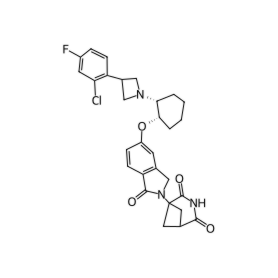 O=C1NC(=O)C2(N3Cc4cc(O[C@H]5CCCC[C@H]5N5CC(c6ccc(F)cc6Cl)C5)ccc4C3=O)CC1C2